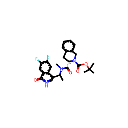 CC(c1c[nH]c(=O)c2cc(F)c(F)cc12)N(C)C(=O)[C@@H]1Cc2ccccc2CN1C(=O)OC(C)(C)C